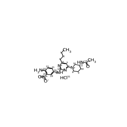 CCCCc1cc(N2CCC[C@@H](NC(C)=O)C2)nc(Nc2ccc(N)c([N+](=O)[O-])c2)n1.Cl